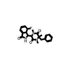 CN1C(=O)C(C)(Cc2ccccc2)N(C)C(=O)C1C1NC(=O)C2=CC=CC(F)C21